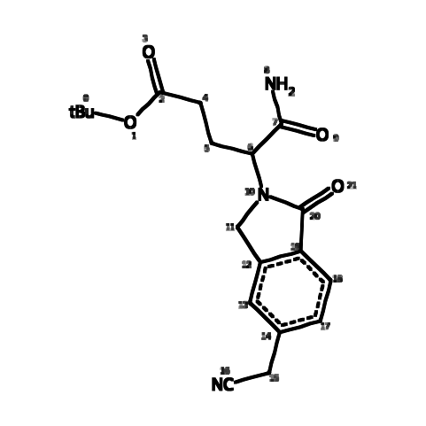 CC(C)(C)OC(=O)CCC(C(N)=O)N1Cc2cc(CC#N)ccc2C1=O